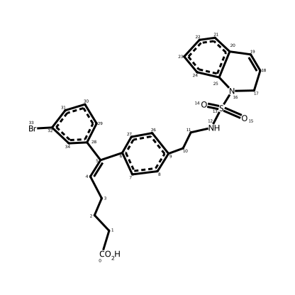 O=C(O)CCC/C=C(\c1ccc(CCNS(=O)(=O)N2CC=Cc3ccccc32)cc1)c1cccc(Br)c1